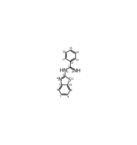 N=C(Nc1nc2ccccc2s1)c1ccccc1